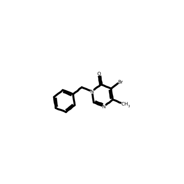 Cc1ncn(Cc2ccccc2)c(=O)c1Br